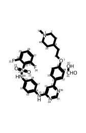 CN1CCC(CCOc2ccc(-c3cc(Nc4ccc(NS(=O)(=O)c5c(F)cccc5F)cc4)ncn3)cc2)CC1.O=CO